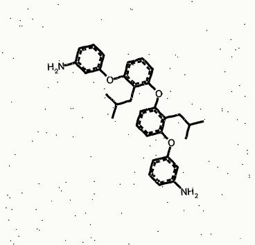 CC(C)Cc1c(Oc2cccc(N)c2)cccc1Oc1cccc(Oc2cccc(N)c2)c1CC(C)C